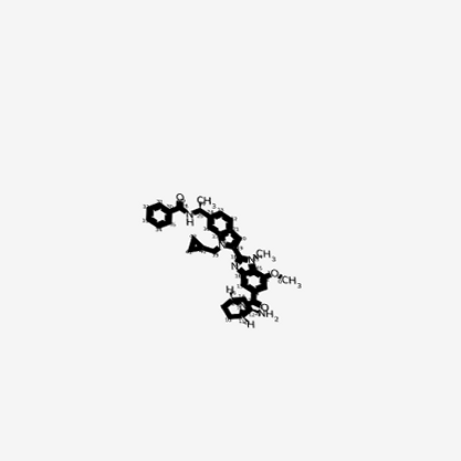 COc1cc(C(=O)N2[C@H]3CC[C@@H]2[C@H](N)C3)cc2nc(-c3cc4ccc([C@@H](C)NC(=O)c5ccccc5)cc4n3CC3CC3)n(C)c12